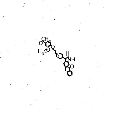 COc1cc(C(C)=O)ccc1OCCCN1CCC(C2=C3C=CC(F)(C(=O)c4ccccc4)C=C3NN2)CC1